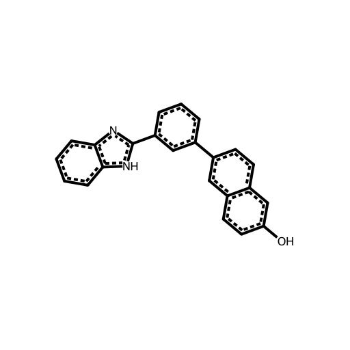 Oc1ccc2cc(-c3cccc(-c4nc5ccccc5[nH]4)c3)ccc2c1